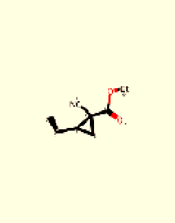 C=CC1CC1(C#N)C(=O)OCC